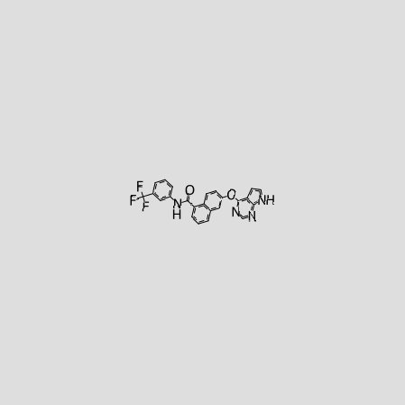 O=C(Nc1cccc(C(F)(F)F)c1)c1cccc2cc(Oc3ncnc4[nH]ccc34)ccc12